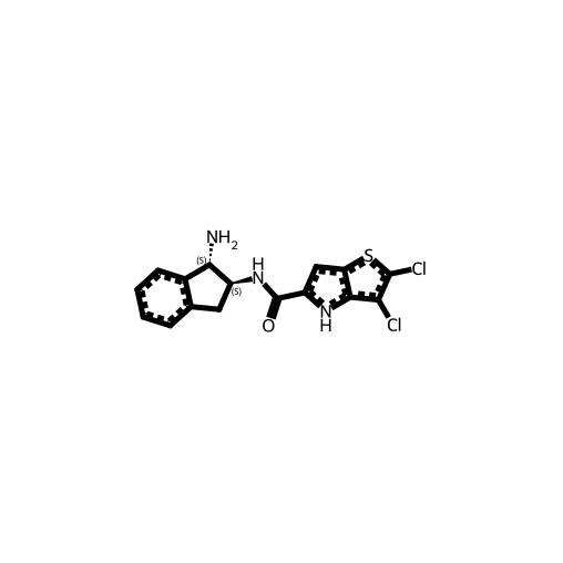 N[C@H]1c2ccccc2C[C@@H]1NC(=O)c1cc2sc(Cl)c(Cl)c2[nH]1